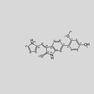 COc1cc(O)ccc1-c1ccc2c(c1)NC(=O)/C2=C\c1ccc[nH]1